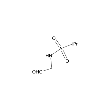 CC(C)S(=O)(=O)NCC=O